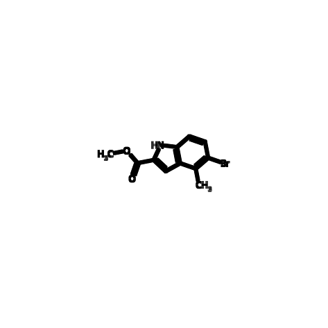 COC(=O)c1cc2c(C)c(Br)ccc2[nH]1